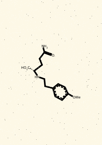 COc1ccc(CCN[C@@H](CCC(N)=O)C(=O)O)cc1